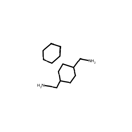 C1CCCCC1.NCC1CCC(CN)CC1